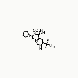 N=C(C1=NCNC(C(F)(F)C(F)(F)F)=C1)N(C(=O)O)C(=O)N1CCCC1